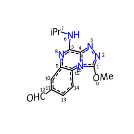 COc1nnc2c(NC(C)C)nc3cc(C=O)ccc3n12